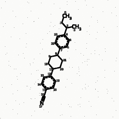 CCC(C)c1ccc(C2CCC(c3ccc(C#N)cc3)CC2)cc1